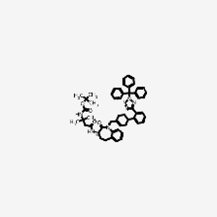 CC(C)(CC(=O)N[C@@H]1CCc2ccccc2N(CC2=CCC(c3ccccc3-c3nnn(C(c4ccccc4)(c4ccccc4)c4ccccc4)n3)CC2)C1=O)NC(=O)OC(C)(C)C